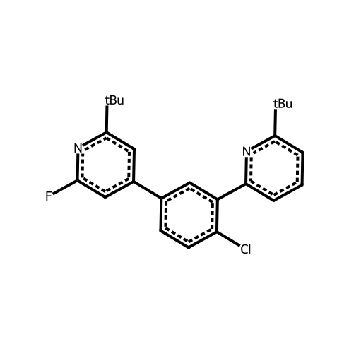 CC(C)(C)c1cc(-c2ccc(Cl)c(-c3cccc(C(C)(C)C)n3)c2)cc(F)n1